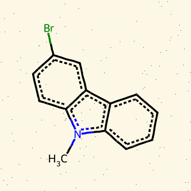 Cn1c2ccccc2c2cc(Br)ccc21